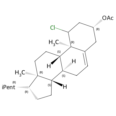 CCC[C@@H](C)[C@H]1CC[C@H]2[C@@H]3CC=C4C[C@@H](OC(C)=O)CC(Cl)[C@]4(C)[C@H]3CC[C@]12C